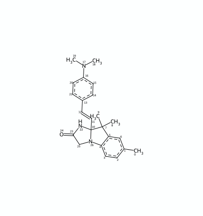 Cc1ccc2c(c1)C(C)(C)C1(/C=C/c3ccc(N(C)C)cc3)NC(=O)CN21